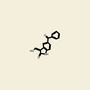 O=C1Nc2ccc(C(=O)c3c[c]ccc3)cc2C1=CO